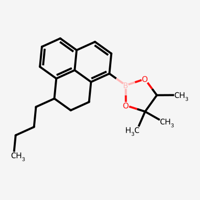 CCCCC1CCc2c(B3OC(C)C(C)(C)O3)ccc3cccc1c23